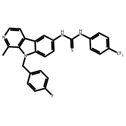 Cc1nccc2c3cc(NC(=S)Nc4ccc(C(F)(F)F)cc4)ccc3n(Cc3ccc(F)cc3)c12